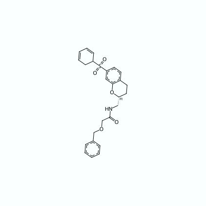 O=C(COCc1ccccc1)NC[C@H]1CCc2ccc(S(=O)(=O)C3C=CC=CC3)cc2O1